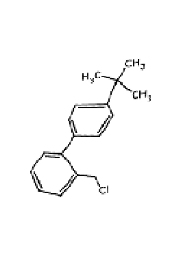 CC(C)(C)c1ccc(-c2ccccc2CCl)cc1